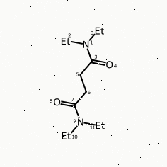 CCN(CC)C(=O)CCC(=O)N(CC)CC